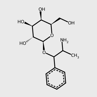 CC(N)C(O[C@@H]1O[C@H](CO)[C@H](O)[C@H](O)[C@H]1O)c1ccccc1